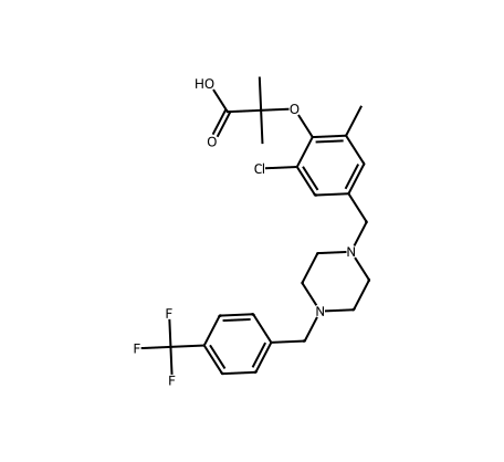 Cc1cc(CN2CCN(Cc3ccc(C(F)(F)F)cc3)CC2)cc(Cl)c1OC(C)(C)C(=O)O